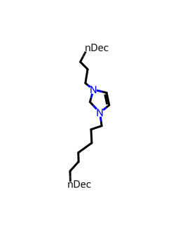 CCCCCCCCCCCCCCCCN1C=CN(CCCCCCCCCCCCC)C1